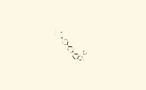 CC(C)(C)OC(=O)N1CC=C(c2cnc(-c3ccc4cnn(C5COC5)c4c3)nc2)CC1